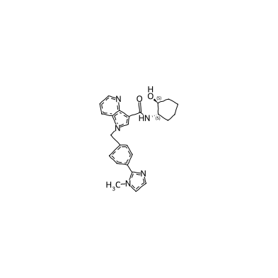 Cn1ccnc1-c1ccc(Cn2cc(C(=O)N[C@H]3CCCC[C@@H]3O)c3ncccc32)cc1